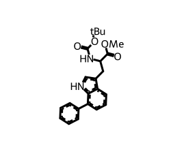 COC(=O)C(Cc1c[nH]c2c(-c3ccccc3)cccc12)NC(=O)OC(C)(C)C